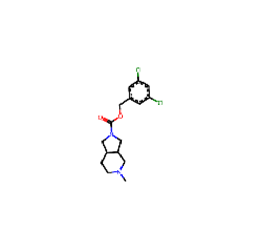 CN1CCC2CN(C(=O)OCc3cc(Cl)cc(Cl)c3)CC2C1